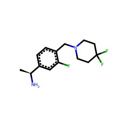 C[C@H](N)c1ccc(CN2CCC(F)(F)CC2)c(F)c1